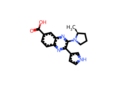 C[C@H]1CCCN1c1nc2cc(C(=O)O)ccc2nc1-c1cc[nH]c1